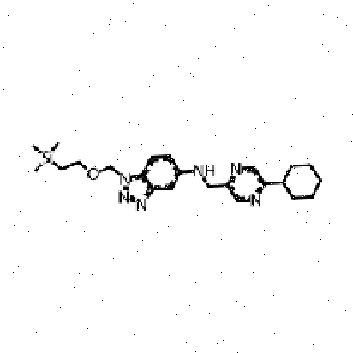 C[Si](C)(C)CCOCn1nnc2cc(NCc3cnc(C4CCCCC4)cn3)ccc21